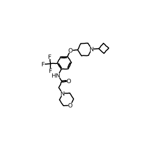 O=C(CN1CCOCC1)Nc1ccc(OC2CCN(C3CCC3)CC2)cc1C(F)(F)F